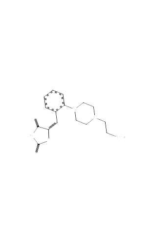 CNCCN1CCN(c2ccccc2C=C2SC(=O)NC2=O)CC1.Cl